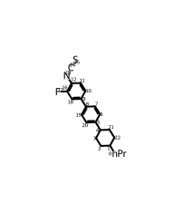 CCCC1CCC(c2ccc(-c3ccc(N=C=S)c(F)c3)cc2)CC1